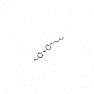 CCC[C@H]1CC[C@H](CC[C@H]2CC[C@H](COCCOCC)CC2)CC1